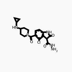 NNC(=O)C1C(=O)Nc2ccc(C(=O)N3CCC(NC4CC4)CC3)c(Cl)c21